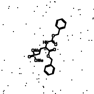 COP(=O)(CC[C@@H](NC(=O)OCc1ccccc1)C(=O)OCc1ccccc1)OC